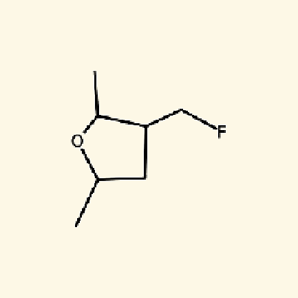 CC1CC(CF)C(C)O1